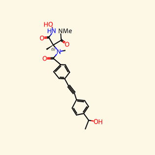 CNC(=O)[C@@](C)(C(=O)NO)N(C)C(=O)c1ccc(C#Cc2ccc(C(C)O)cc2)cc1